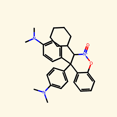 CN(C)c1ccc(C2(c3ccc(N(C)C)cc3)c3ccccc3O[N+](=O)C2C2CCCCC2)cc1